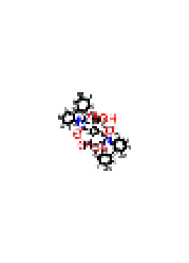 CN(c1ccccc1-c1ccccc1)C(=O)[C@H]1[C@H](C(=O)O)[C@H](C(=O)N(C)c2ccccc2-c2ccccc2)[C@H]1C(=O)O